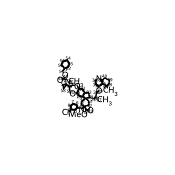 COC(=O)C1(Nc2cccc(Cl)c2)CCC2(CC1)c1cc3c(cc1C[C@@H]2C[C@@H](C)COc1ccnc2c1[C@H](C)CCC2)OCC(C1(N(C)C(=O)OCc2ccccc2)CC1)CO3